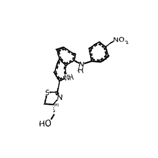 O=[N+]([O-])c1ccc(Nc2cccc3cc(C4=N[C@H](CO)CS4)[nH]c23)cc1